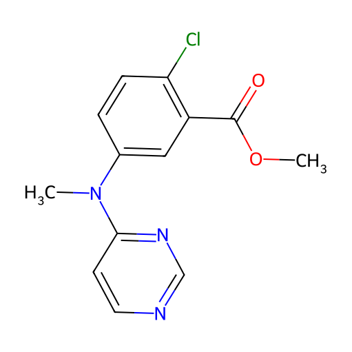 COC(=O)c1cc(N(C)c2ccncn2)ccc1Cl